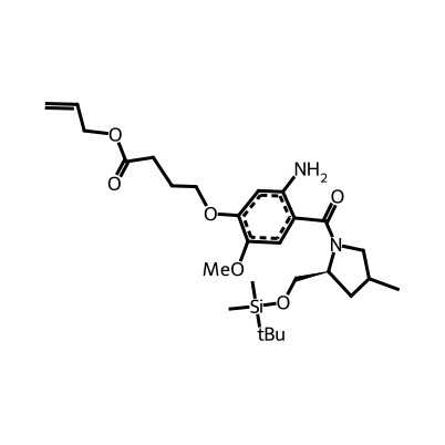 C=CCOC(=O)CCCOc1cc(N)c(C(=O)N2CC(C)C[C@H]2CO[Si](C)(C)C(C)(C)C)cc1OC